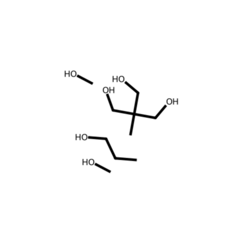 CC(CO)(CO)CO.CCCO.CO.CO